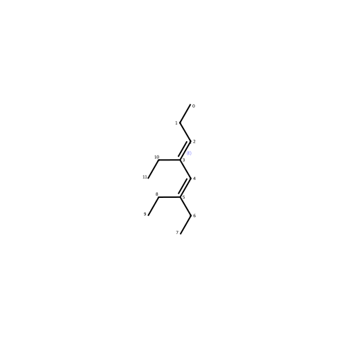 CC/[C]=C(/C=C(CC)CC)CC